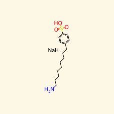 NCCCCCCCCCc1ccc(S(=O)(=O)O)cc1.[NaH]